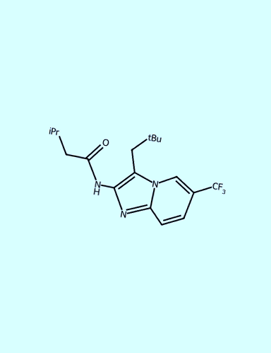 CC(C)CC(=O)Nc1nc2ccc(C(F)(F)F)cn2c1CC(C)(C)C